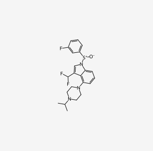 CC(C)N1CCN(c2cccc3c2c(C(F)F)cn3[S+]([O-])c2cccc(F)c2)CC1